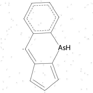 [C]1=C2C=CC=C2[AsH]c2ccccc21